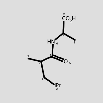 CC(C)CC(C)C(=O)NC(C)C(=O)O